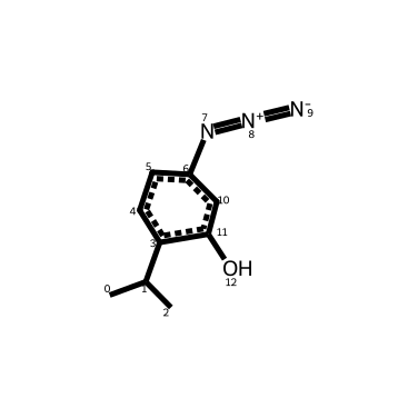 CC(C)c1ccc(N=[N+]=[N-])cc1O